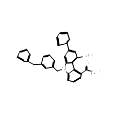 NC(=O)c1cccc2c1c1c(O)cc(-c3ccccc3)cc1n2Cc1cccc(Cc2ccccc2)c1